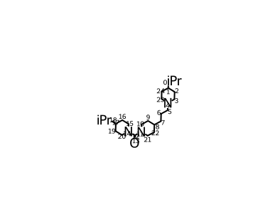 CC(C)C1CCN(CCCC2CCN(C(=O)N3CCC(C(C)C)CC3)CC2)CC1